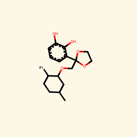 CC1CCC(C(C)C)C(OCC2(c3cccc(O)c3O)OCCO2)C1